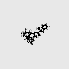 C[C@@H]1CN2c3ncc(-c4nc5ccccc5[nH]4)cc3CC3(C(=O)NC(=O)NC3=O)[C@H]2[C@H](C)O1